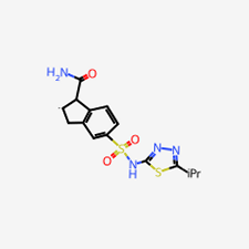 CC(C)c1nnc(NS(=O)(=O)c2ccc3c(c2)C[CH]C3C(N)=O)s1